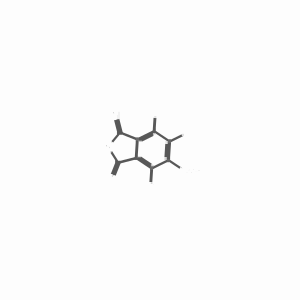 CSc1c(Cl)c(Cl)c2c(c1Cl)C(=O)NC2=N